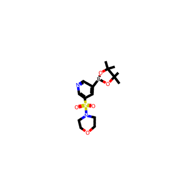 CC1(C)OB(c2cncc(S(=O)(=O)N3CCOCC3)c2)OC1(C)C